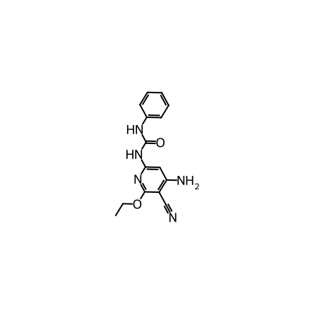 CCOc1nc(NC(=O)Nc2ccccc2)cc(N)c1C#N